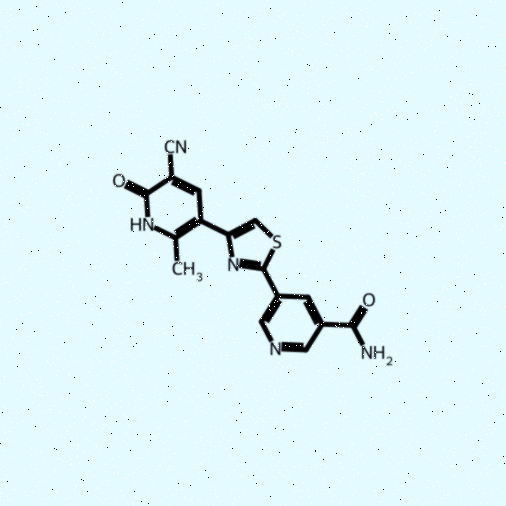 Cc1[nH]c(=O)c(C#N)cc1-c1csc(-c2cncc(C(N)=O)c2)n1